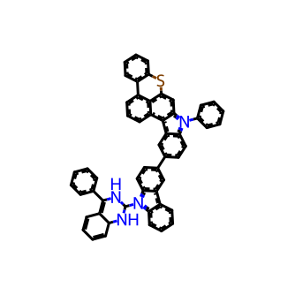 C1=CC2=C(c3ccccc3)NC(n3c4ccccc4c4cc(-c5ccc6c(c5)c5c7cccc8c7c(cc5n6-c5ccccc5)Sc5ccccc5-8)ccc43)NC2C=C1